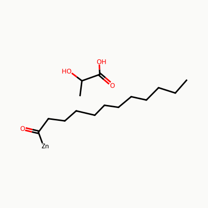 CC(O)C(=O)O.CCCCCCCCCCC[C](=O)[Zn]